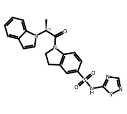 C[C@@H](C(=O)N1CCc2cc(S(=O)(=O)Nc3ncns3)ccc21)n1ccc2ccccc21